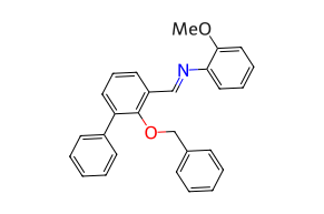 COc1ccccc1N=Cc1cccc(-c2ccccc2)c1OCc1ccccc1